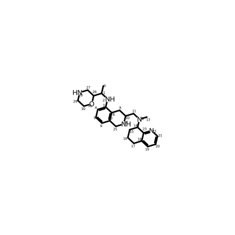 CC(Nc1cccc2c1CC(CN(C)C1CCCc3cccnc31)NC2)C1CNCCO1